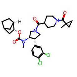 CN(C(=O)O[C@@H]1CC2CC[C@@H]1C2)[C@H]1CN(C(=O)C2CCN(C(=O)C3(C)CC3)CC2)C[C@@H]1c1ccc(Cl)c(Cl)c1